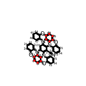 N#Cc1c(N2c3ccccc3Oc3ccccc32)c(N2c3ccccc3Oc3ccccc32)cc(N2c3ccccc3Oc3ccccc32)c1N1c2ccccc2Oc2ccccc21